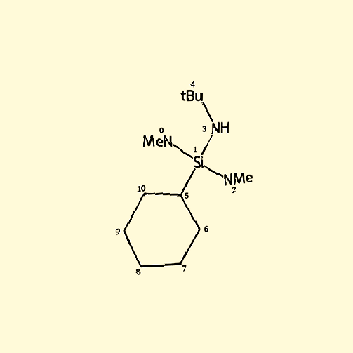 CN[Si](NC)(NC(C)(C)C)C1CCCCC1